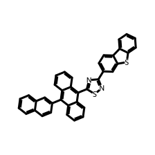 c1ccc2cc(-c3c4ccccc4c(-c4nc(-c5ccc6c(c5)sc5ccccc56)ns4)c4ccccc34)ccc2c1